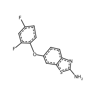 Nc1nc2ccc(Oc3ccc(F)cc3F)cc2s1